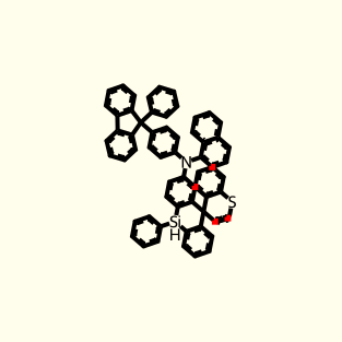 c1ccc([SiH]2c3ccccc3C3(c4ccccc4Sc4ccccc43)c3cc(N(c4ccc(C5(c6ccccc6)c6ccccc6-c6ccccc65)cc4)c4cccc5ccccc45)ccc32)cc1